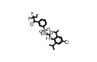 CC(C)c1cc(Cl)cc(C(C)C)c1NC(=O)NS(=O)(=O)c1cccc(C(=O)C(F)(F)F)c1